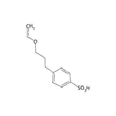 C=COCCCc1ccc(S(=O)(=O)O)cc1